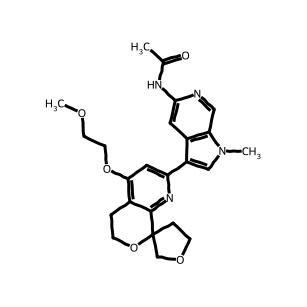 COCCOc1cc(-c2cn(C)c3cnc(NC(C)=O)cc23)nc2c1CCOC21CCOC1